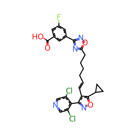 O=C(O)c1cc(F)cc(-c2noc(CCCC/C=C/c3c(-c4c(Cl)cncc4Cl)noc3C3CC3)n2)c1